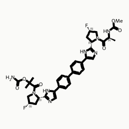 COC(=O)N[C@@H](C)C(=O)N1C[C@@H](F)C[C@H]1c1ncc(-c2ccc(-c3ccc(-c4cnc([C@@H]5C[C@H](F)CN5C(=O)C(C)(C)OC(N)=O)[nH]4)cc3)cc2)[nH]1